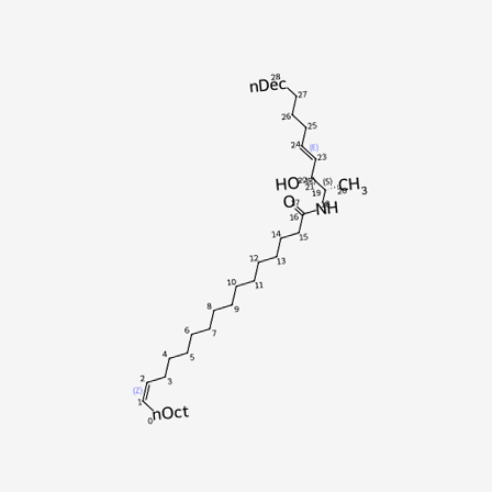 CCCCCCCC/C=C\CCCCCCCCCCCCCC(=O)N[C@@H](C)[C@H](O)/C=C/CCCCCCCCCCCCC